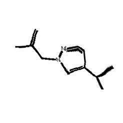 C=C(C)Cn1cc(C(C)C)cn1